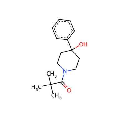 CC(C)(C)C(=O)N1CCC(O)(c2ccccc2)CC1